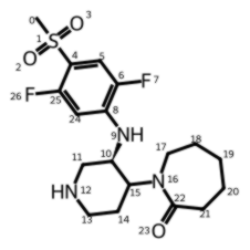 CS(=O)(=O)c1cc(F)c(N[C@@H]2CNCCC2N2CCCCCC2=O)cc1F